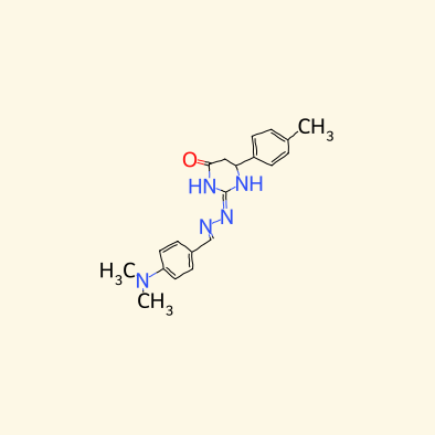 Cc1ccc(C2CC(=O)NC(=NN=Cc3ccc(N(C)C)cc3)N2)cc1